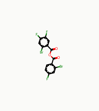 O=C(OC(=O)c1cc(F)c(F)cc1Br)c1ccc(F)cc1Br